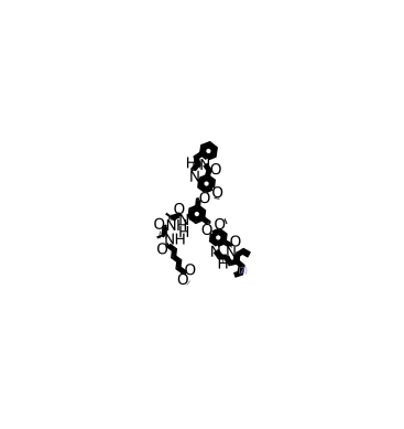 C=CC1=C(/C=C\C)C[C@H]2C=Nc3cc(OCc4cc(COc5cc6c(cc5OC)C(=O)N5c7ccccc7C[C@H]5C=N6)cc(NC(=O)[C@H](C)NC(=O)[C@H](C)NC(=O)CCCCC(=O)OC)c4)c(OC)cc3C(=O)N12